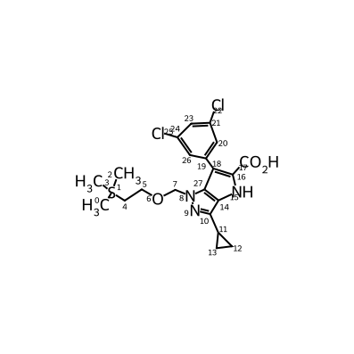 CS(C)(C)CCOCn1nc(C2CC2)c2[nH]c(C(=O)O)c(-c3cc(Cl)cc(Cl)c3)c21